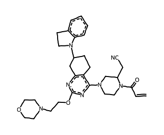 C=CC(=O)N1CCN(c2nc(OCCN3CCOCC3)nc3c2CCC(N2CCc4ccccc42)C3)CC1CC#N